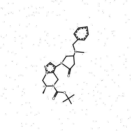 C[C@H]1Cn2ncc(N3CC(N(C)Cc4ccccc4)CC3=O)c2CN1C(=O)OC(C)(C)C